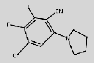 N#Cc1c(N2CCCC2)cc(Cl)c(F)c1I